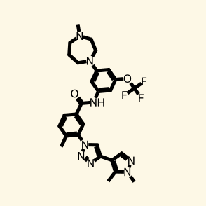 Cc1ccc(C(=O)Nc2cc(OC(F)(F)F)cc(N3CCCN(C)CC3)c2)cc1-n1cc(-c2cnn(C)c2C)nn1